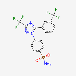 NS(=O)(=O)c1ccc(-n2nc(C(F)(F)F)nc2-c2cccc(C(F)(F)F)c2)cc1